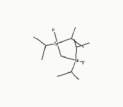 CC(C)[Si](F)(C[Si](F)(C(C)C)C(C)C)C(C)C